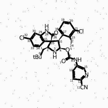 CC(C)(C)C[C@@H]1N[C@H](OC(=O)Nc2ccc(C#N)nc2)[C@H](c2cccc(Cl)c2F)[C@]12C(=O)Nc1cc(Cl)ccc12